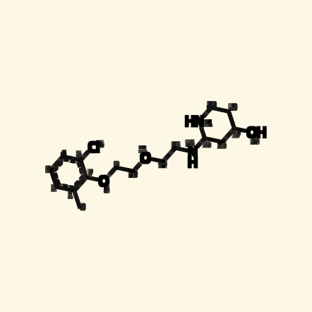 Cc1cccc(Cl)c1OCCOCCNC1CC(O)CCN1